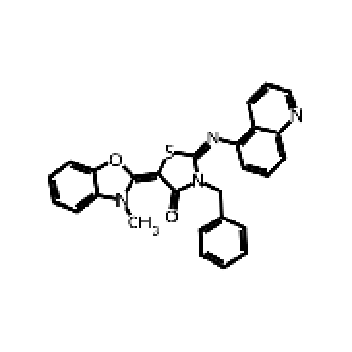 CN1C(=C2SC(=Nc3cccc4ncccc34)N(Cc3ccccc3)C2=O)Oc2ccccc21